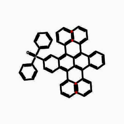 O=P(c1ccccc1)(c1ccccc1)c1ccc2c(-c3ccccc3)c3c(-c4ccccc4)c4ccccc4c(-c4ccccc4)c3c(-c3ccccc3)c2c1